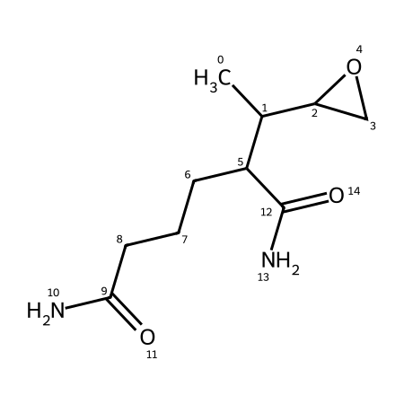 CC(C1CO1)C(CCCC(N)=O)C(N)=O